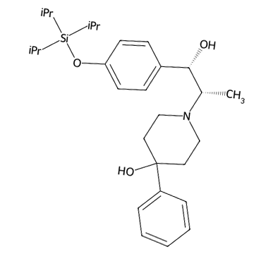 CC(C)[Si](Oc1ccc([C@H](O)[C@H](C)N2CCC(O)(c3ccccc3)CC2)cc1)(C(C)C)C(C)C